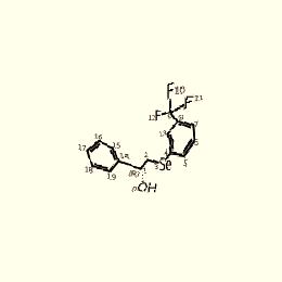 O[C@@H](C[Se]c1cccc(C(F)(F)F)c1)c1ccccc1